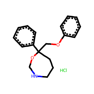 Cl.c1ccc(OCC2(c3ccccc3)CCCNCO2)cc1